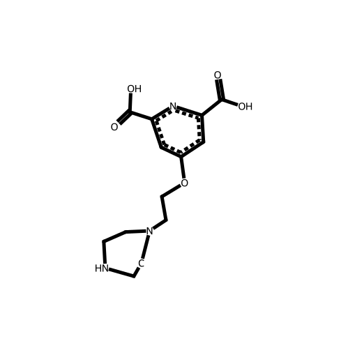 O=C(O)c1cc(OCCN2CCNCC2)cc(C(=O)O)n1